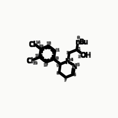 CCCCC(O)CN1N=CCCC1c1ccc(Cl)c(Cl)c1